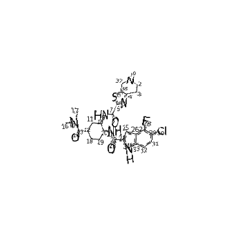 CN1CCc2nc(C(=O)N[C@@H]3C[C@@H](C(=O)N(C)C)CC[C@@H]3NC(=O)c3cc4c(F)c(Cl)ccc4[nH]3)sc2C1